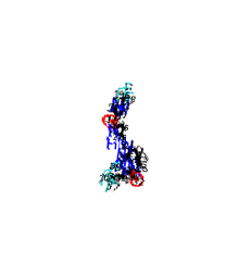 CN1c2nc(NCc3ccc(Oc4cnc(C(F)(F)F)nc4)nc3)nc3c2N(CCC3)C(=O)C1CC(F)(F)F